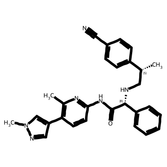 Cc1nc(NC(=O)[C@H](NC[C@@H](C)c2ccc(C#N)cc2)c2ccccc2)ccc1-c1cnn(C)c1